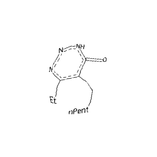 CCCCCCc1c(CC)nn[nH]c1=O